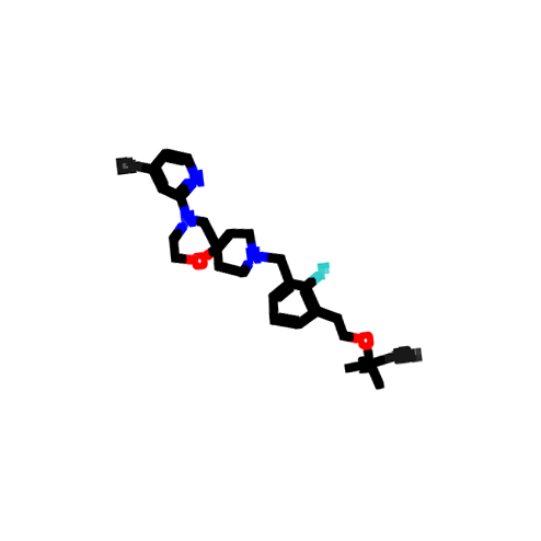 CCc1ccnc(N2CCOC3(CCN(Cc4cccc(CCO[Si](C)(C)C(C)(C)C)c4F)CC3)C2)c1